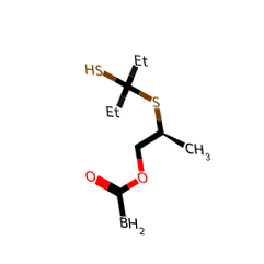 BC(=O)OC[C@H](C)SC(S)(CC)CC